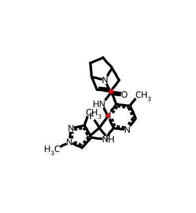 Cc1cnc(Nc2cn(C)nc2C)nc1C1=CC2CCC(C1)N2C(=O)NCC(F)(F)F